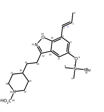 C/C=C/c1cc(O[Si](C)(C)C(C)(C)C)cc2c(CCC3CCN(C(=O)O)CC3)noc12